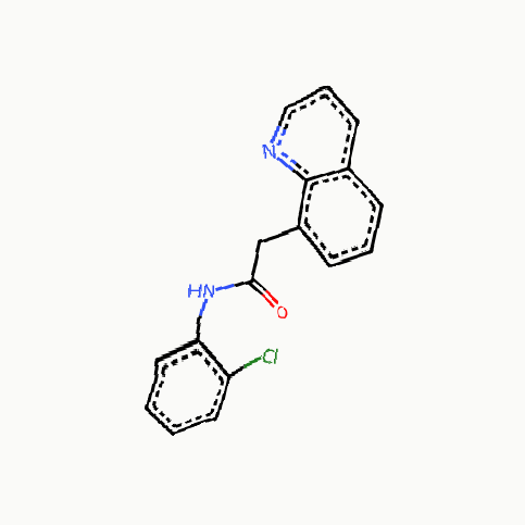 O=C(Cc1cccc2cccnc12)Nc1ccccc1Cl